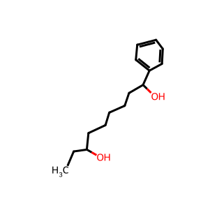 CCC(O)CCCCCC(O)c1ccccc1